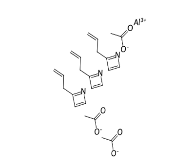 C=CCC1=NC=C1.C=CCC1=NC=C1.C=CCC1=NC=C1.CC(=O)[O-].CC(=O)[O-].CC(=O)[O-].[Al+3]